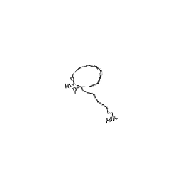 CNCCCCCCC1(OC)CCCCCCCCOC1=N